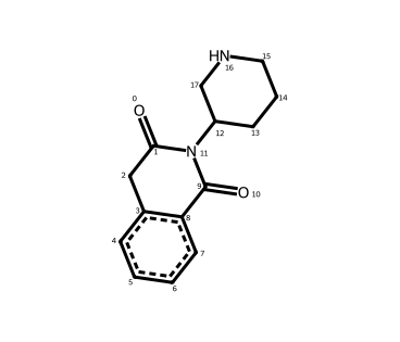 O=C1Cc2ccccc2C(=O)N1C1CCCNC1